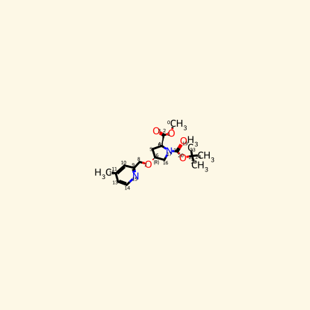 COC(=O)[C@@H]1C[C@@H](OCc2cc(C)ccn2)CN1C(=O)OC(C)(C)C